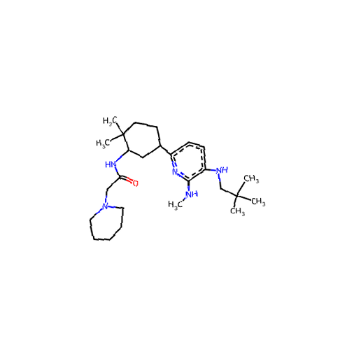 CNc1nc(C2CCC(C)(C)C(NC(=O)CN3CCCCC3)C2)ccc1NCC(C)(C)C